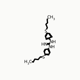 CCCCCSc1ccc(NC(=N)Nc2ccc(SCCCCC)cc2)cc1